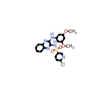 COc1cc(Nc2nc3ccccc3nc2NS(=O)(=O)c2ccc(Cl)nc2)cc(OC)c1